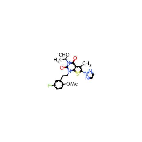 COc1ccc(F)cc1CCn1c(=O)n(C(C)C=O)c(=O)c2c(C)c(-n3nccn3)sc21